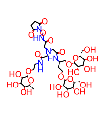 C[C@@H]1O[C@@H](OCCNC(=O)CN(CC(=O)NON2C(=O)CCC2=O)CC(=O)N[C@H](CCO[C@H]2O[C@H](CO)[C@@H](O)[C@H](O)[C@@H]2O)CO[C@H]2O[C@H](CO)[C@@H](O)[C@H](O)[C@@H]2O)[C@@H](O)[C@H](O)[C@@H]1O